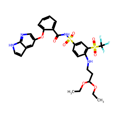 CCOC(CCNc1ccc(S(=O)(=O)NC(=O)c2ccccc2Oc2cnc3[nH]ccc3c2)cc1S(=O)(=O)C(F)(F)F)OCC